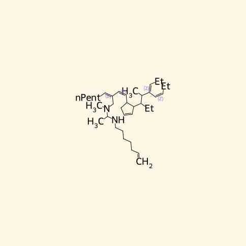 C=CCCCCCNC(C)N(C)CC(/C=C\C1CC=CC1C(CC)C(C)C(/C=C\CC)=C/CC)=C\CCCCC